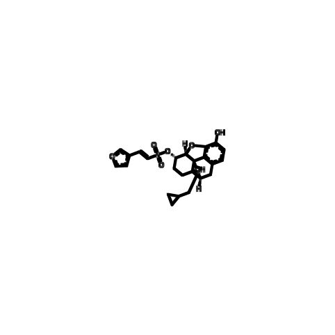 O=S(=O)(/C=C/c1ccoc1)O[C@H]1CC[C@@]2(O)[C@H]3Cc4ccc(O)c5c4[C@@]2(CCN3CC2CC2)[C@H]1O5